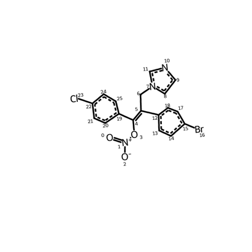 O=[N+]([O-])O/C(=C(/Cn1ccnc1)c1ccc(Br)cc1)c1ccc(Cl)cc1